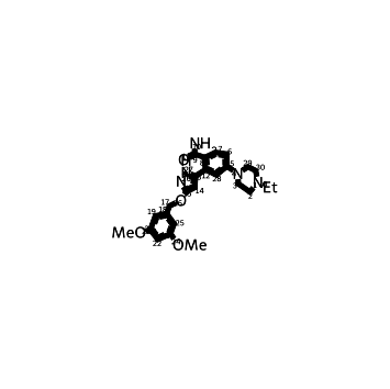 CCN1CCN(c2ccc(C(N)=O)c(-c3cc(OCc4cc(OC)cc(OC)c4)n[nH]3)c2)CC1